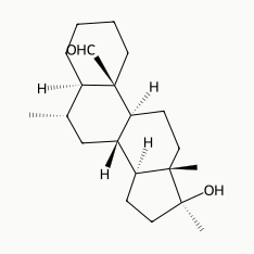 C[C@H]1C[C@@H]2[C@H](CC[C@@]3(C)[C@H]2CC[C@]3(C)O)[C@@]2(C=O)CCCC[C@H]12